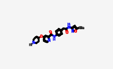 CCN1CCC(Oc2ccnc(C(=O)Nc3ccc(CC(=O)Nc4cc(C(C)(C)C)on4)cc3)c2)CC1